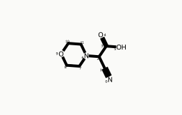 N#CC(C(=O)O)N1CCOCC1